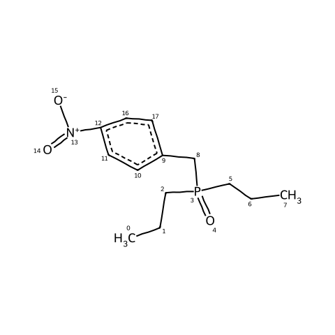 CCCP(=O)(CCC)Cc1ccc([N+](=O)[O-])cc1